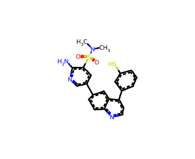 CN(C)S(=O)(=O)c1cc(-c2ccc3nccc(-c4cccc(S)c4)c3c2)cnc1N